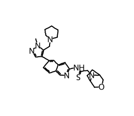 Cn1ncc(-c2ccc3cnc(NC(=S)CN4C5CCC4COC5)cc3c2)c1CN1CCCCC1